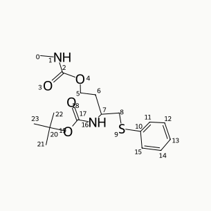 CNC(=O)OCCC(CSc1ccccc1)NC(=O)OC(C)(C)C